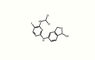 CCC(CC)Nc1nc(Nc2ccc3c(c2)COB3O)ncc1F